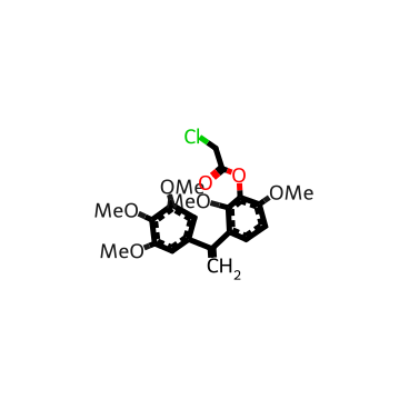 C=C(c1cc(OC)c(OC)c(OC)c1)c1ccc(OC)c(OC(=O)CCl)c1OC